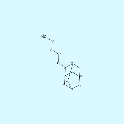 OCCCOC1C2CC3CC(C2)CC1C3